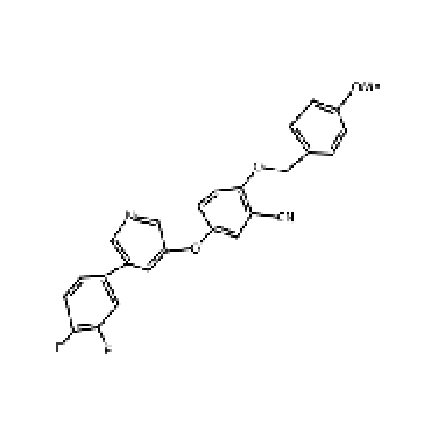 COc1ccc(COc2ccc(Oc3cncc(-c4ccc(F)c(F)c4)c3)cc2C#N)cc1